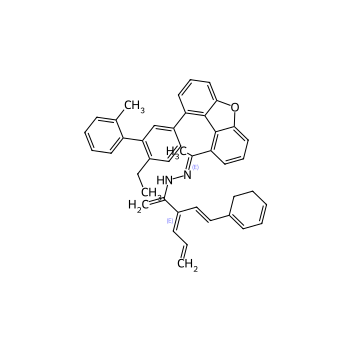 C=C/C=C(\C=CC1=CC=CCC1)C(=C)N/N=C(\C)c1cccc2oc3cccc(-c4ccc(CC)c(-c5ccccc5C)c4)c3c12